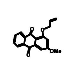 C=CCOc1cc(OC)cc2c1C(=O)c1ccccc1C2=O